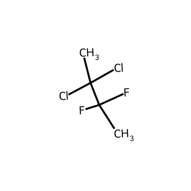 CC(F)(F)C(C)(Cl)Cl